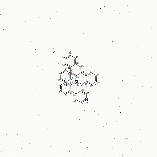 c1ccc([Si]23c4ccccc4-c4ccncc4N2c2ccccc2-c2cc4ccccc4cc23)cc1